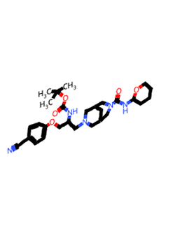 CC(C)(C)OC(=O)NC(COc1ccc(C#N)cc1)CN1CC2CC(C1)CN(C(=O)NC1CCCCO1)C2